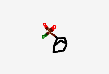 O=S(=O)(F)C1CC2CCC1C2